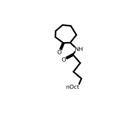 CCCCCCCCCCCC(=O)NC1CCCCCC1=O